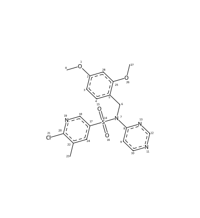 COc1ccc(CN(c2ccncn2)S(=O)(=O)c2cnc(Cl)c(C)c2)c(OC)c1